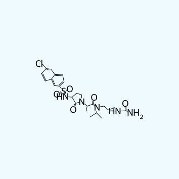 CC(C)N(CCCNC(N)=O)C(=O)C(C)N1CCC(NS(=O)(=O)c2ccc3cc(Cl)ccc3c2)C1=O